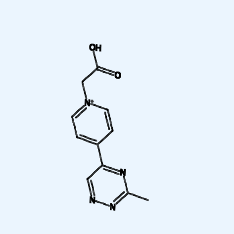 Cc1nncc(-c2cc[n+](CC(=O)O)cc2)n1